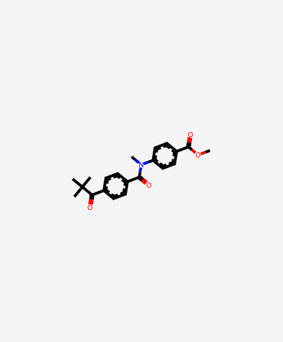 COC(=O)c1ccc(N(C)C(=O)c2ccc(C(=O)C(C)(C)C)cc2)cc1